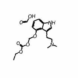 CCOC(=O)OCOc1cccc2[nH]cc(CCN(C)C)c12.O=CO